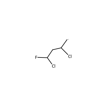 [CH2]C(Cl)CC(F)Cl